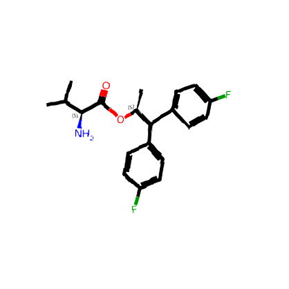 CC(C)[C@H](N)C(=O)O[C@@H](C)C(c1ccc(F)cc1)c1ccc(F)cc1